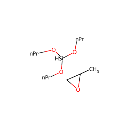 CC1CO1.CCCO[SiH](OCCC)OCCC